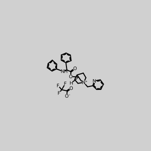 O=C(O[C@H]1C[N+]2(Cc3ccccn3)CCC1CC2)C(Nc1ccccc1)c1ccccc1.O=C([O-])C(F)(F)F